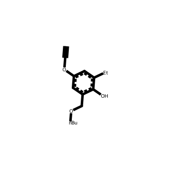 C#COc1cc(CC)c(O)c(COCCCC)c1